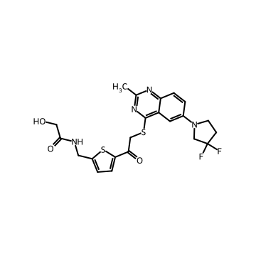 Cc1nc(SCC(=O)c2ccc(CNC(=O)CO)s2)c2cc(N3CCC(F)(F)C3)ccc2n1